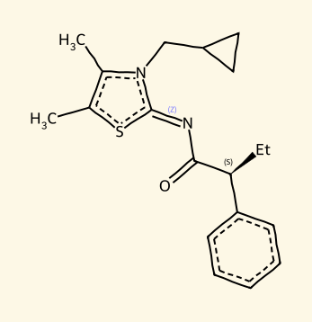 CC[C@H](C(=O)/N=c1\sc(C)c(C)n1CC1CC1)c1ccccc1